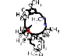 COc1cc2cc(c1Cl)N(C)C(=O)C[C@@H]1OC(=O)[C@@H](N(C)C(=O)CCSC(C)(C)C)C3(OC13C)[C@H](C)C1CC(O)(NC(=O)O1)C(OC)/C=C/C=C(\C)C2